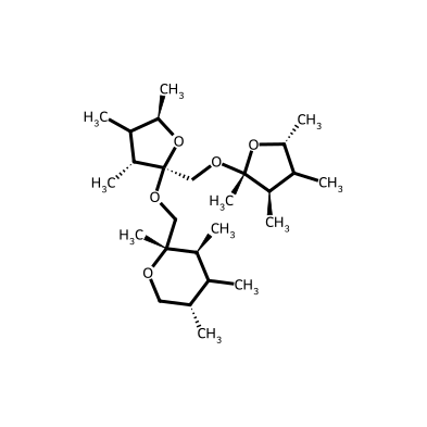 CC1[C@@H](C)[C@](C)(OC[C@@]2(OC[C@@]3(C)OC[C@@H](C)C(C)[C@@H]3C)O[C@H](C)C(C)[C@H]2C)O[C@@H]1C